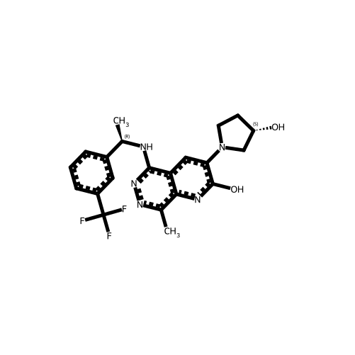 Cc1nnc(N[C@H](C)c2cccc(C(F)(F)F)c2)c2cc(N3CC[C@H](O)C3)c(O)nc12